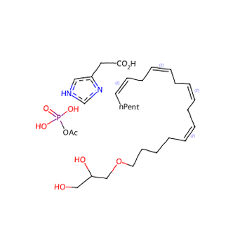 CC(=O)OP(=O)(O)O.CCCCC/C=C\C/C=C\C/C=C\C/C=C\CCCCOCC(O)CO.O=C(O)Cc1c[nH]cn1